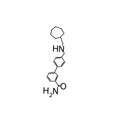 NC(=O)c1cccc(-c2ccc(CNCC3CCCCCC3)cc2)c1